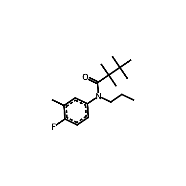 CCCN(C(=O)C(C)(C)C(C)(C)C)c1ccc(F)c(C)c1